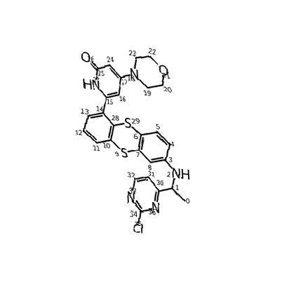 CC(Nc1ccc2c(c1)Sc1cccc(-c3cc(N4CCOCC4)cc(=O)[nH]3)c1S2)c1ccnc(Cl)n1